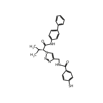 CC(C)[C@@H](C(=O)Nc1ccc(-c2ccccc2)cc1)n1cc(CNC(=O)c2ccc(S)cc2)nn1